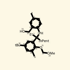 CCCCCC(CC)(Pc1ccc(C)cc1CO)c1cc(C(C)(C)C)cc(C)c1OCOC